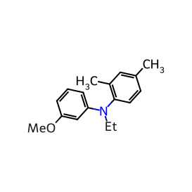 CCN(c1cccc(OC)c1)c1ccc(C)cc1C